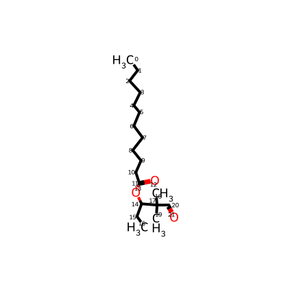 CCCCCCCCCCCC(=O)OC(CC)C(C)(C)C=O